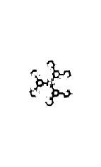 C1=CCNC(C2C=C(C3C=CC=CN3)C=C(C3=NC(c4cc(-c5ncccn5)cc(C5N=CC=CN5)c4)NC(c4cc(C5=NCCC=C5)cc(-c5ccccn5)c4)N3)C2)=C1